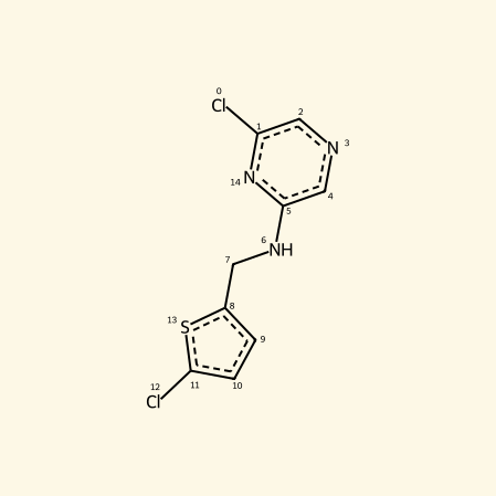 Clc1cncc(NCc2ccc(Cl)s2)n1